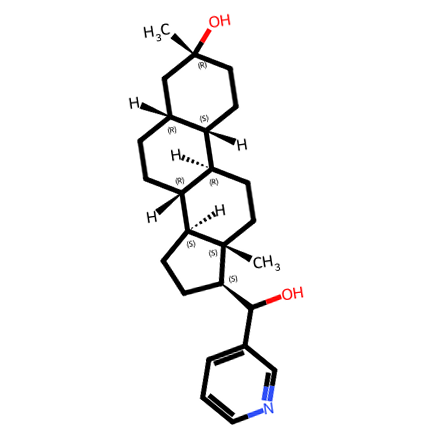 C[C@@]1(O)CC[C@H]2[C@H](CC[C@@H]3[C@@H]2CC[C@]2(C)[C@@H](C(O)c4cccnc4)CC[C@@H]32)C1